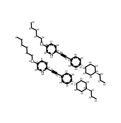 CCCCCCOc1ccc(C#Cc2ccc([C@H]3CC[C@H](CCC)CC3)cc2)nc1.CCCCCOc1ccc(C#Cc2ccc([C@H]3CC[C@H](CCC)CC3)cc2)nc1